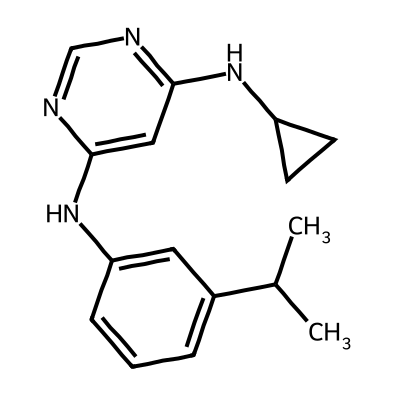 CC(C)c1cccc(Nc2cc(NC3CC3)ncn2)c1